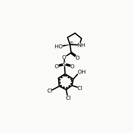 O=C(OS(=O)(=O)c1cc(Cl)c(Cl)c(Cl)c1O)[C@]1(O)CCCN1